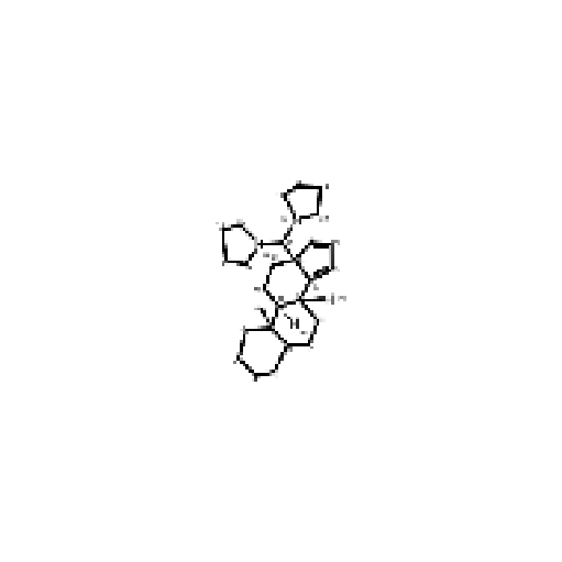 C[C@]12CCCCC1CC[C@H]1C3=CC=C[C@@]3(C(N3CCCC3)N3CCCC3)CC[C@@H]12